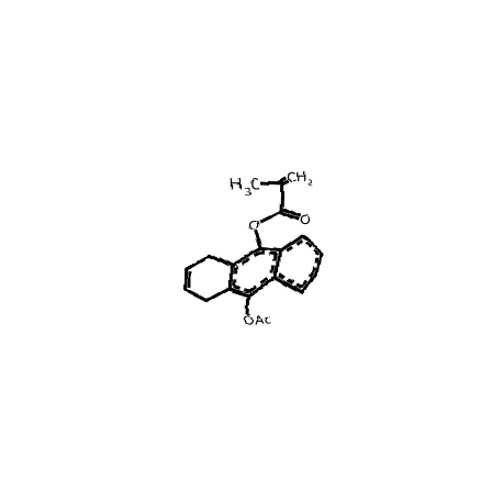 C=C(C)C(=O)Oc1c2c(c(OC(C)=O)c3ccccc13)CC=CC2